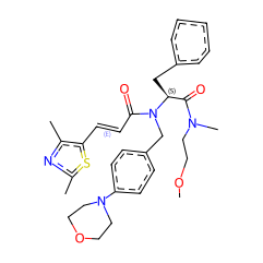 COCCN(C)C(=O)[C@H](Cc1ccccc1)N(Cc1ccc(N2CCOCC2)cc1)C(=O)/C=C/c1sc(C)nc1C